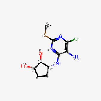 CCCSc1nc(Cl)c(N)c(N[C@@H]2CC[C@@H](O)[C@H]2O)n1